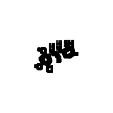 COc1cc(OC)c(NC(=S)Nc2ccc(C)cc2S)cc1Cl